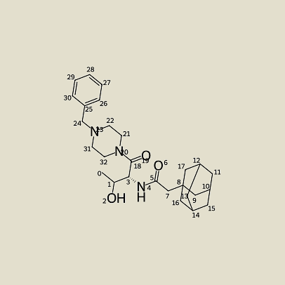 CC(O)[C@@H](NC(=O)CC12CC3CC(CC(C3)C1)C2)C(=O)N1CCN(Cc2ccccc2)CC1